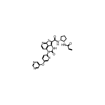 C=CC(=O)N[C@H]1CCC[C@H]1NC(=O)c1sc2nccc3c2c1NC(=O)N3c1ccc(Oc2cncnc2)cn1